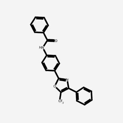 O=C(Nc1ccc(-c2nc(-c3ccccc3)c(C(F)(F)F)o2)cc1)c1ccccc1